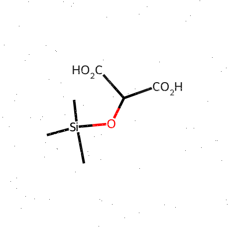 C[Si](C)(C)OC(C(=O)O)C(=O)O